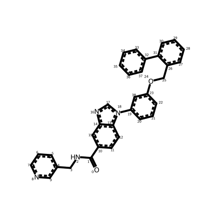 O=C(NCc1cccnc1)c1ccc2c(c1)ncn2-c1cccc(OCc2ccccc2-c2ccccc2)c1